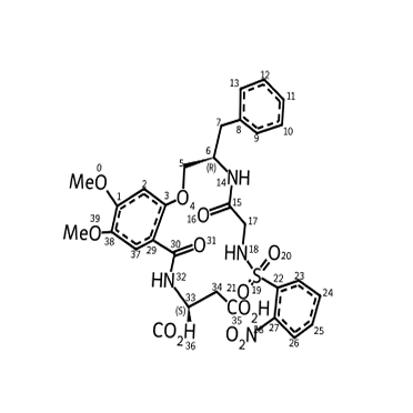 COc1cc(OC[C@@H](Cc2ccccc2)NC(=O)CNS(=O)(=O)c2ccccc2[N+](=O)[O-])c(C(=O)N[C@@H](CC(=O)O)C(=O)O)cc1OC